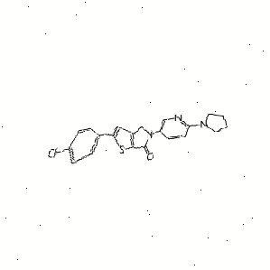 O=C1c2sc(-c3ccc(Cl)cc3)cc2CN1c1ccc(N2CCCC2)nc1